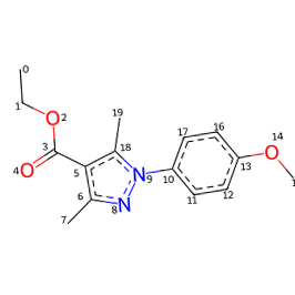 CCOC(=O)c1c(C)nn(-c2ccc(OC)cc2)c1C